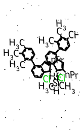 CCCC1=Cc2c(-c3ccc(C)c(C)c3C)cccc2[CH]1[Hf]([Cl])([Cl])([CH]1C(CCC)=Cc2c(-c3ccc(C)c(C)c3C)cccc21)[SiH](C)C